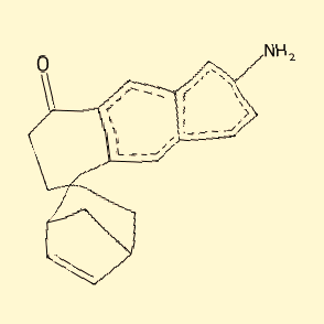 Nc1ccc2cc3c(cc2c1)C(=O)CCC31CC2C=CC1C2